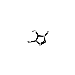 CCCCN1N=CN(F)C1CCC